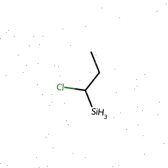 CCC([SiH3])Cl